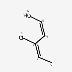 C/C=C(Cl)\C=C/O